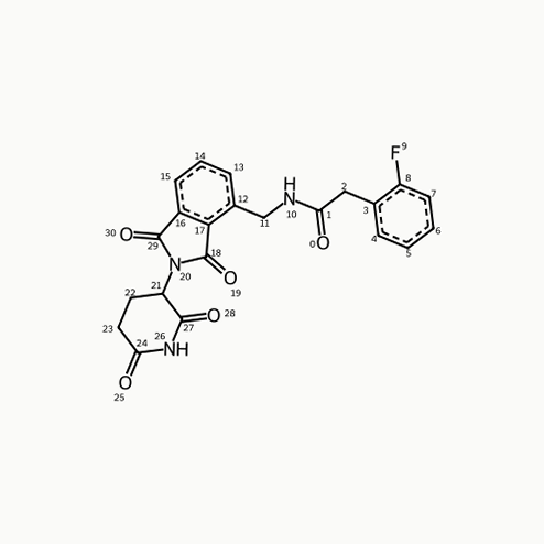 O=C(Cc1ccccc1F)NCc1cccc2c1C(=O)N(C1CCC(=O)NC1=O)C2=O